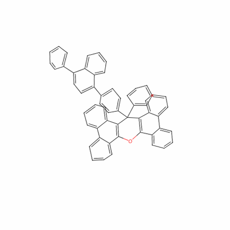 c1ccc(-c2ccc(-c3ccc(C4(c5ccccc5)c5c(c6ccccc6c6ccccc56)Oc5c4c4ccccc4c4ccccc54)cc3)c3ccccc23)cc1